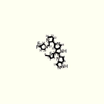 Cc1ccc(-c2c(-c3ccc4[nH]ncc4n3)[nH]c3cnc(-c4cccnc4CN4CCC(F)(F)C4)cc23)s1